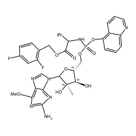 COc1nc(N)nc2c1ncn2C1O[C@H](COP(=O)(NC(C(=O)OCc2ccc(F)cc2F)C(C)C)Oc2cccc3ncccc23)[C@@H](O)[C@@]1(C)O